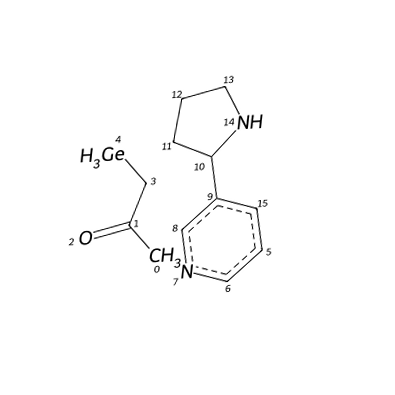 CC(=O)[CH2][GeH3].c1cncc(C2CCCN2)c1